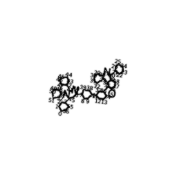 c1ccc(-c2cc(-c3ccc(-c4ccc5oc6ccc7c(-c8ccccc8)nc8ccccc8c7c6c5c4)cc3)nc(-c3ccccc3-c3ccccc3)n2)cc1